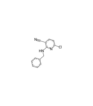 N#Cc1ccc(Cl)nc1NCc1ccccc1